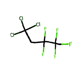 FC(F)(F)C(F)(F)CC(Cl)(Cl)Cl